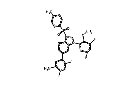 COc1c(F)cc(F)cc1-c1cn(S(=O)(=O)c2ccc(C)cc2)c2ncc(-c3cc(N)c(F)cc3F)cc12